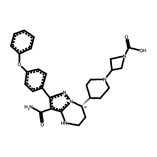 NC(=O)c1c(-c2ccc(Oc3ccccc3)cc2)nn2c1NCC[C@H]2C1CCN(C2CN(C(=O)O)C2)CC1